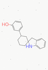 Oc1cccc(C2CCCC3(Cc4ccccc4N3)C2)c1